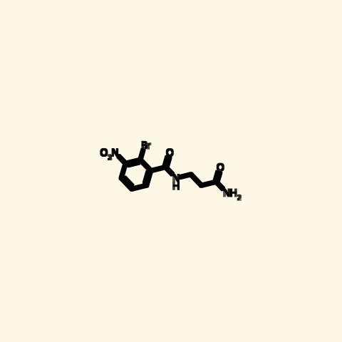 NC(=O)CCNC(=O)c1cccc([N+](=O)[O-])c1Br